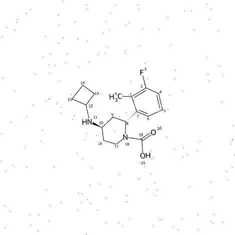 Cc1c(F)cccc1[C@H]1C[C@H](NC2CCC2)CCN1C(=O)O